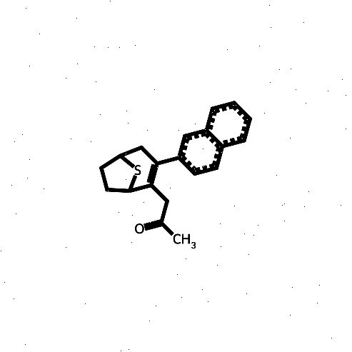 CC(=O)CC1=C(c2ccc3ccccc3c2)CC2CCC1S2